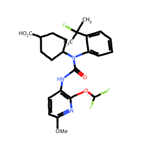 COc1ccc(NC(=O)N(c2ccccc2C(C)(C)F)C2CCC(C(=O)O)CC2)c(OC(F)F)n1